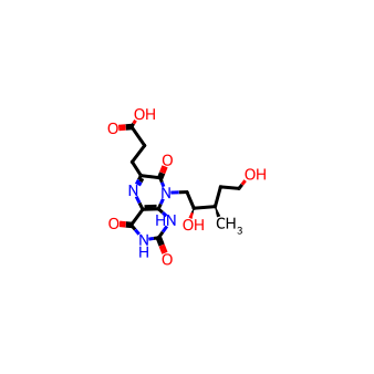 C[C@H](CCO)[C@@H](O)Cn1c(=O)c(CCC(=O)O)nc2c(=O)[nH]c(=O)[nH]c21